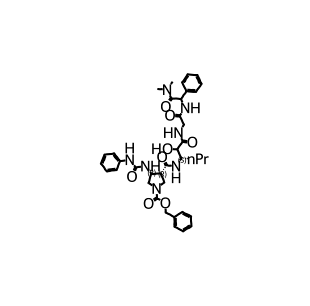 CCC[C@H](NC(=O)[C@@H]1CN(C(=O)OCc2ccccc2)C[C@@H]1NC(=O)Nc1ccccc1)C(O)C(=O)NCC(=O)NC(C(=O)N(C)C)c1ccccc1